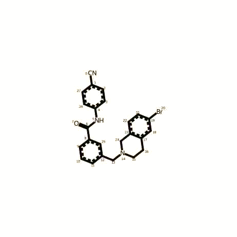 N#Cc1ccc(NC(=O)c2cccc(CN3CCc4cc(Br)ccc4C3)c2)cc1